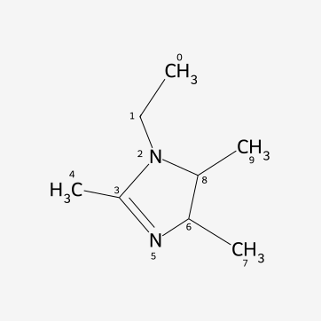 CCN1C(C)=NC(C)C1C